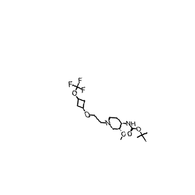 CO[C@@H]1CN(CCOC2CC(OC(F)(F)F)C2)CC[C@H]1NC(=O)OC(C)(C)C